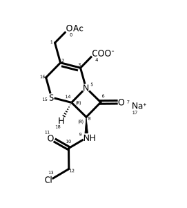 CC(=O)OCC1=C(C(=O)[O-])N2C(=O)[C@@H](NC(=O)CCl)[C@H]2SC1.[Na+]